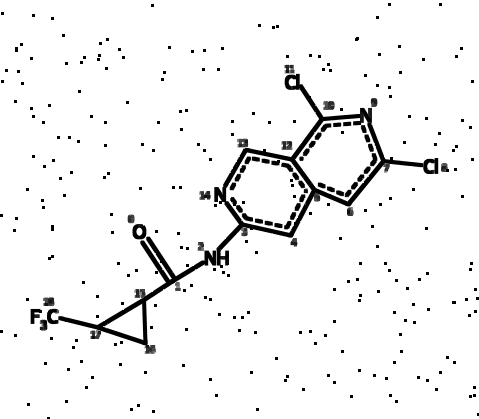 O=C(Nc1cc2cc(Cl)nc(Cl)c2cn1)C1CC1C(F)(F)F